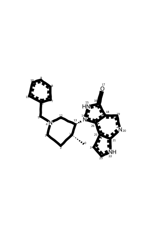 C[C@@H]1CCN(Cc2ccccc2)C[C@@H]1n1[nH]c(=O)c2cnc3[nH]ccc3c21